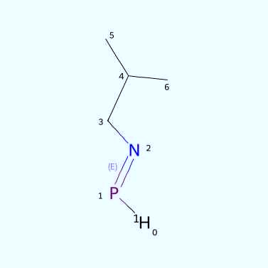 [1H]/P=N/CC(C)C